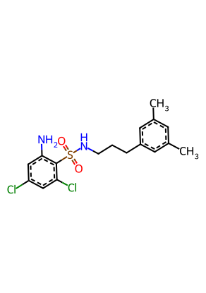 Cc1cc(C)cc(CCCNS(=O)(=O)c2c(N)cc(Cl)cc2Cl)c1